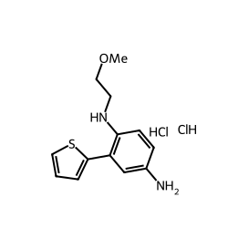 COCCNc1ccc(N)cc1-c1cccs1.Cl.Cl